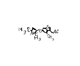 CC(=O)Cc1csc2cc(OCc3ccc(C)nc3C)cc(C)c12